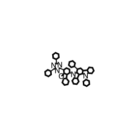 c1ccc(-c2nc(-c3ccccc3)nc(-c3ccc(-n4c5ccccc5c5c4c(-c4ccccc4)cc4c6ccccc6n(-c6ccccc6)c45)c4c3oc3ccccc34)n2)cc1